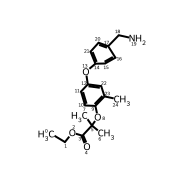 CCOC(=O)C(C)(C)Oc1ccc(Oc2ccc(CN)cc2)cc1C